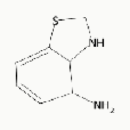 NC1C=CC=C2SCNC21